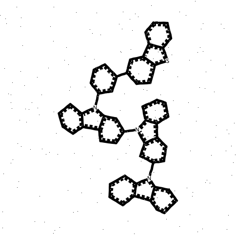 c1cc(-c2ccc3sc4ccccc4c3c2)cc(-n2c3ccccc3c3ccc(-n4c5ccccc5c5ccc(-n6c7ccccc7c7ccccc76)cc54)cc32)c1